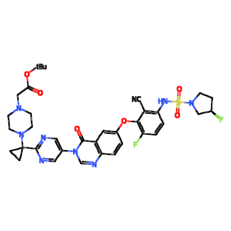 CC(C)(C)OC(=O)CN1CCN(C2(c3ncc(-n4cnc5ccc(Oc6c(F)ccc(NS(=O)(=O)N7CC[C@@H](F)C7)c6C#N)cc5c4=O)cn3)CC2)CC1